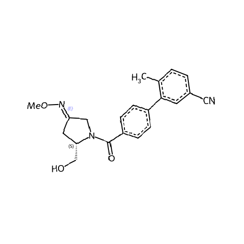 CO/N=C1\C[C@@H](CO)N(C(=O)c2ccc(-c3cc(C#N)ccc3C)cc2)C1